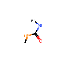 CPC(=O)NC(C)C